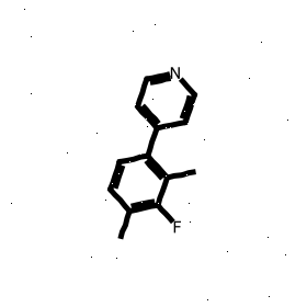 Cc1ccc(-c2ccncc2)c(C)c1F